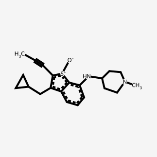 CC#Cc1c(CC2CC2)c2cccc(NC3CCN(C)CC3)c2[s+]1[O-]